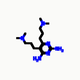 CN(C)CCCc1nc(N)nc(N)c1CCCN(C)C